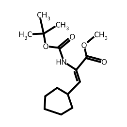 COC(=O)/C(=C/C1CCCCC1)NC(=O)OC(C)(C)C